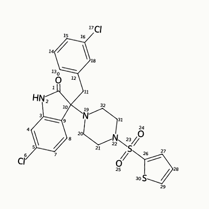 O=C1Nc2cc(Cl)ccc2C1(Cc1cccc(Cl)c1)N1CCN(S(=O)(=O)c2cccs2)CC1